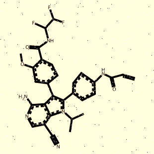 C=CC(=O)Nc1ccc(-c2c(-c3ccc(C(=O)NC(F)C(F)F)c(OC)c3)c3c(N)ncc(C#N)c3n2C(C)C)cc1